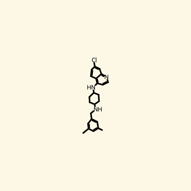 Cc1cc(C)cc(CNC2CCC(Nc3ccnc4cc(Cl)ccc34)CC2)c1